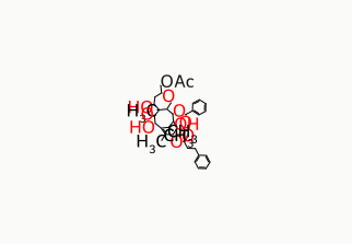 CC(=O)OCC1CC(O)C2(C)C(=O)C(O)C3=C(C)[C@@H](OC(=O)CCc4ccccc4)CC(O)([C@@H](OC(=O)c4ccccc4)C2CO1)C3(C)C